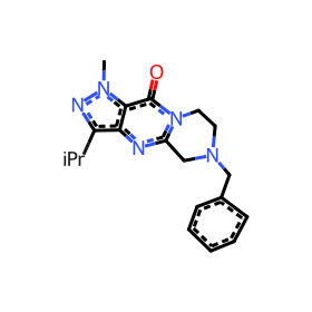 CC(C)c1nn(C)c2c(=O)n3c(nc12)CN(Cc1ccccc1)CC3